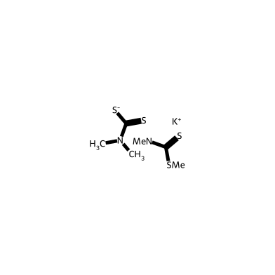 CN(C)C(=S)[S-].CNC(=S)SC.[K+]